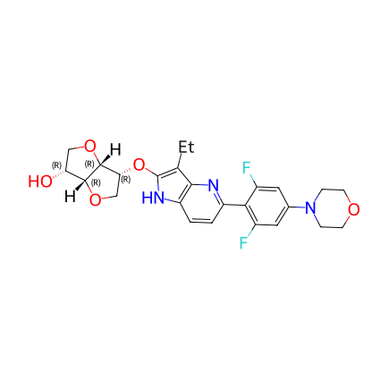 CCc1c(O[C@@H]2CO[C@H]3[C@@H]2OC[C@H]3O)[nH]c2ccc(-c3c(F)cc(N4CCOCC4)cc3F)nc12